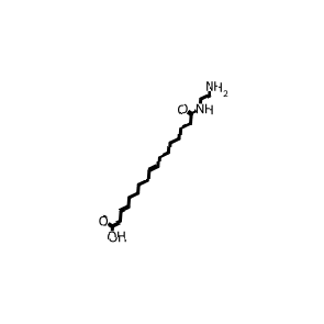 NCCNC(=O)CCCCCC/C=C/CCCCCCCC(=O)O